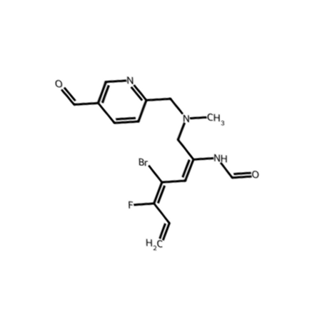 C=C/C(F)=C(Br)\C=C(/CN(C)Cc1ccc(C=O)cn1)NC=O